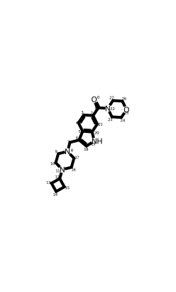 O=C(c1ccc2c(CN3CCN(C4CCC4)CC3)c[nH]c2c1)N1CCOCC1